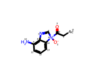 CC(=O)CC(=O)[N+]1([O-])C=Nc2c(N)cccc21